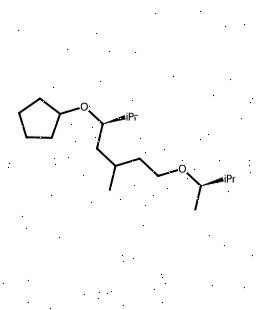 CC(CCO[C@H](C)C(C)C)C[C@@H](OC1CCCC1)C(C)C